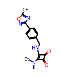 CCN(C)c1c(NCc2ccc(-c3noc(C(F)(F)F)n3)cc2)c(=O)c1=O